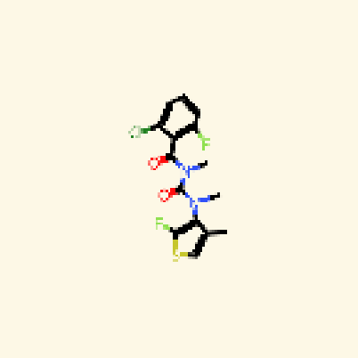 Cc1csc(F)c1N(C)C(=O)N(C)C(=O)c1c(F)cccc1Cl